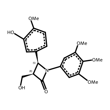 COc1ccc([C@@H]2[C@H](CO)C(=O)N2c2cc(OC)c(OC)c(OC)c2)cc1O